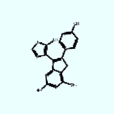 Cc1cc(O)cc2c1CC(c1ccc(O)cc1)=C2c1ccsc1N